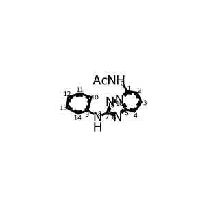 CC(=O)Nc1cccc2nc(Nc3ccccc3)nn12